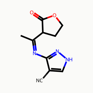 CC(=Nc1n[nH]cc1C#N)C1CCOC1=O